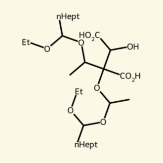 CCCCCCCC(OCC)OC(C)OC(C(=O)O)(C(C)OC(CCCCCCC)OCC)C(O)C(=O)O